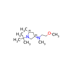 COCCN(C)[C@@H]1C[C@@H](C)N(C(C)(C)C)C1